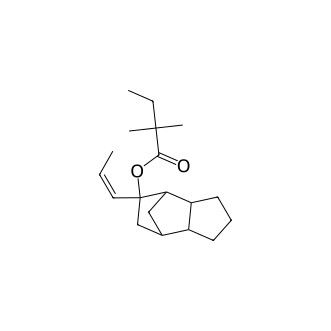 C/C=C\C1(OC(=O)C(C)(C)CC)CC2CC1C1CCCC21